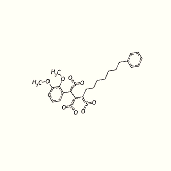 COc1cccc(C(C(C(CCCCCCCc2ccccc2)=S(=O)=O)=S(=O)=O)=S(=O)=O)c1OC